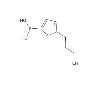 CCCCc1ccc(B(O)O)s1